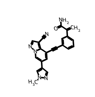 C=C(C(N)=O)c1cccc(C#Cc2cc(-c3cnn(C)c3)cn3ncc(C#N)c23)c1